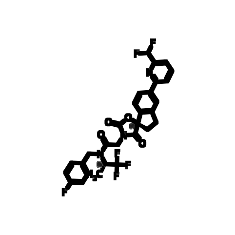 C[C@H](N(Cc1ccc(F)cc1)C(=O)CN1C(=O)O[C@@]2(CCc3cc(-c4cccc(C(F)F)n4)ccc32)C1=O)C(F)(F)F